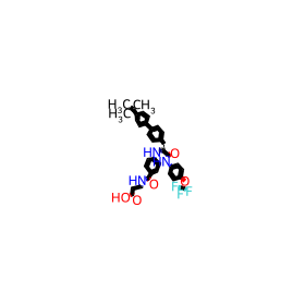 CC(C)(C)c1ccc(-c2ccc(C[C@@H](Nc3ccc(C(=O)NCCC(=O)O)cc3)C(=O)Nc3ccc(OC(F)(F)F)cc3)cc2)cc1